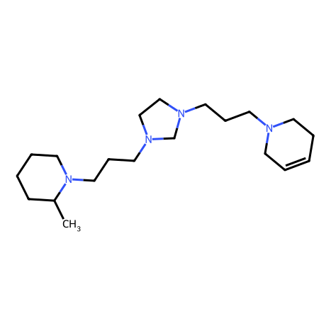 CC1CCCCN1CCCN1CCN(CCCN2CC=CCC2)C1